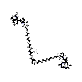 C=C/C(=C\C(=C)C1CN(C)CC(C(=C)Cl)=C1/C=C/Cl)S(=O)(=O)NCCOCCOCCOCCN(N)/C=C(\N)COCc1cn(CCOCCOCCOCCNS(=O)(=O)/C(C=C)=C/C(=C)C2/C=C/C(Cl)=C\C(Cl)=C\CN(C)C2)nn1